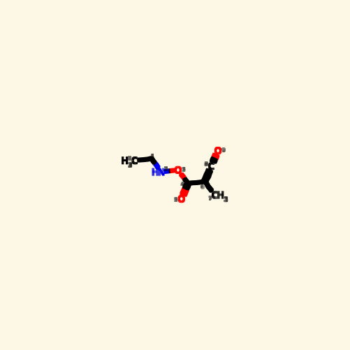 CCNOC(=O)C(C)=C=O